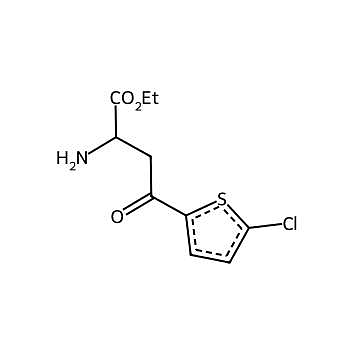 CCOC(=O)C(N)CC(=O)c1ccc(Cl)s1